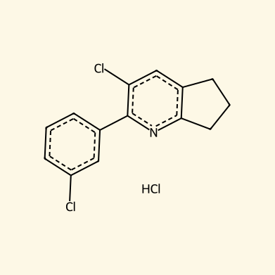 Cl.Clc1cccc(-c2nc3c(cc2Cl)CCC3)c1